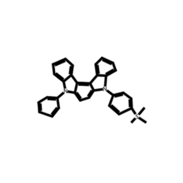 CS(C)(C)c1ccc(-n2c3ccccc3c3c4c5ccccc5n(-c5ccccc5)c4ccc32)cc1